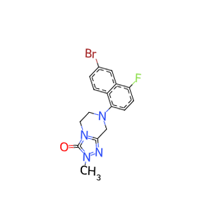 Cn1nc2n(c1=O)CCN(c1ccc(F)c3cc(Br)ccc13)C2